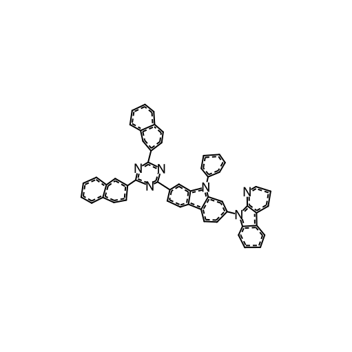 c1ccc(-n2c3cc(-c4nc(-c5ccc6ccccc6c5)nc(-c5ccc6ccccc6c5)n4)ccc3c3ccc(-n4c5ccccc5c5cccnc54)cc32)cc1